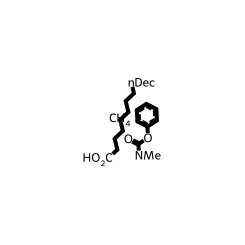 C.CCCCCCCCCCCCCCCCCC(=O)O.CNC(=O)Oc1ccccc1